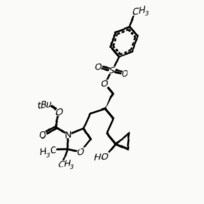 Cc1ccc(S(=O)(=O)OC[C@@H](CCC2(O)CC2)CC2COC(C)(C)N2C(=O)OC(C)(C)C)cc1